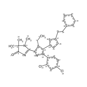 CCc1c(C2=NC(=O)C(C)(C)N2C)nn(-c2ccc(Cl)cc2Cl)c1-c1ccc(CCc2ccccc2)s1